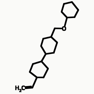 C=CC1CCC(C2CCC(COC3CCCCC3)CC2)CC1